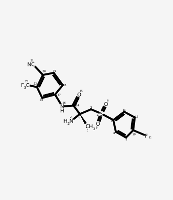 C[C@](N)(CS(=O)(=O)c1ccc(F)cc1)C(=O)Nc1ccc(C#N)c(C(F)(F)F)c1